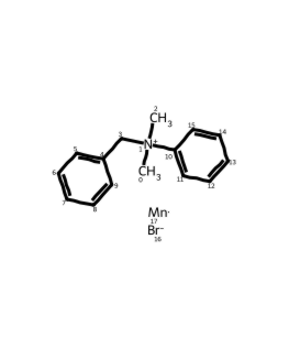 C[N+](C)(Cc1ccccc1)c1ccccc1.[Br-].[Mn]